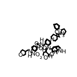 Cc1ccccc1[C@@H]1CCCN1C1CC2(CCN(c3ccc(C(=O)NS(=O)(=O)c4ccc(NCC5CCOCC5)c([N+](=O)[O-])c4)c(N4C[C@H]5CCOC[C@H]5Oc5nc6[nH]ccc6cc54)c3)CC2)C1